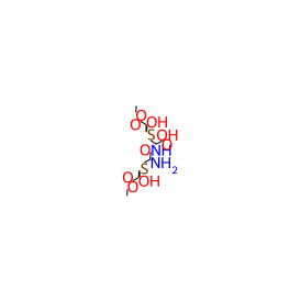 CCOC(=O)C(O)=CSCC(N)C(=O)NC(CSC=C(O)C(=O)OCC)C(=O)O